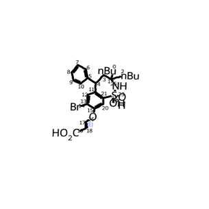 CCCCC1(CCCC)CC(c2ccccc2)c2cc(Br)c(O/C=C/C(=O)O)cc2S(O)(O)N1